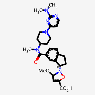 COC1C=C(C(=O)O)ON1[C@@H]1CCc2ccc(C(=O)N(C)C3CCN(c4ccnc(N(C)C)n4)CC3)cc21